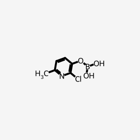 Cc1ccc(OB(O)O)c(Cl)n1